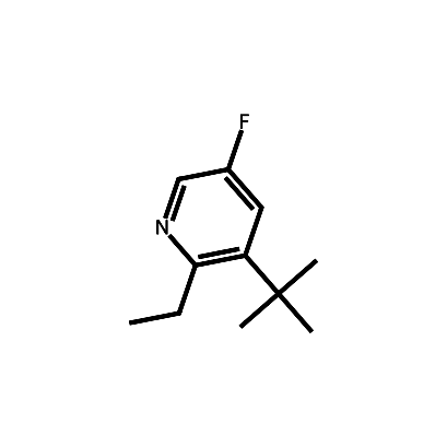 CCc1ncc(F)cc1C(C)(C)C